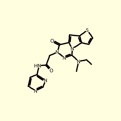 CCN(C)c1nn(CC(=O)Nc2ccncn2)c(=O)c2cc3sccc3n12